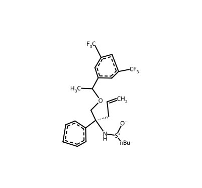 C=CC[C@](COC(C)c1cc(C(F)(F)F)cc(C(F)(F)F)c1)(N[S+]([O-])CCCC)c1ccccc1